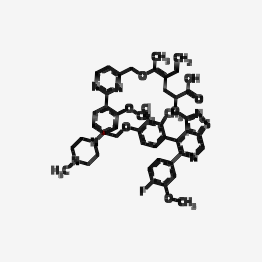 C=C/C(CC(Oc1nsc2cnc(-c3ccc(F)c(OC)c3)c(-c3ccc(OCCN4CCN(C)CC4)c(Cl)c3C)c12)C(=O)O)=C(\C)OCc1ccnc(-c2ccccc2OC)n1